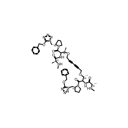 CN[C@@H](C)C(=O)NC(C(=O)N1CCC[C@H]1Cn1nnnc1OCc1ccccc1)[C@@H](C)OCC#CC#CCO[C@H](C)C(NC(=O)[C@H](C)NC)C(=O)N1CCC[C@H]1Cn1nnnc1OCc1ccccc1